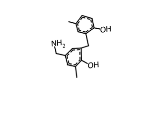 Cc1ccc(O)c(Cc2cc(CN)cc(C)c2O)c1